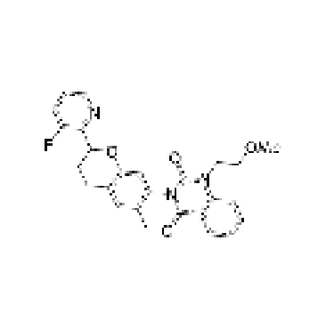 COCCn1c(=O)n(-c2cc3c(cc2C)CCC(c2ncccc2F)O3)c(=O)c2ccccc21